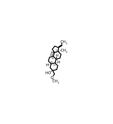 CC=C1CC[C@H]2[C@@H]3CC[C@@H]4C[C@](O)(COC)CC[C@@H]4[C@H]3CC[C@]12C